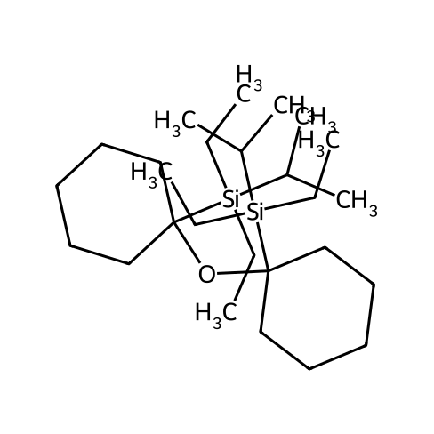 CC[Si](CC)(C(C)C)C1(OC2([Si](CC)(CC)C(C)C)CCCCC2)CCCCC1